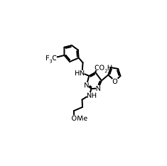 COCCCNc1nc(NCc2cccc(C(F)(F)F)c2)c(C(=O)O)c(-c2ccco2)n1